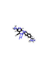 C=C(Nc1cc2cc(-c3cncn3C)ccc2cn1)c1ccnc(N(C)C)c1